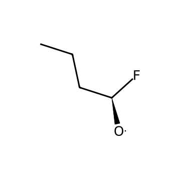 CCC[C@H]([O])F